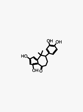 CC1(C)c2cc(O)cc(O)c2C(=O)CCC1c1ccc(O)c(O)c1